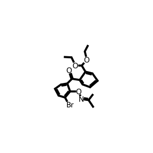 CCOC(OCC)c1ccccc1C(=O)c1cccc(Br)c1ON=C(C)C